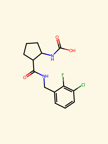 O=C(O)NC1CCCC1C(=O)NCc1cccc(Cl)c1F